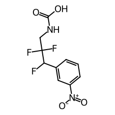 O=C(O)NCC(F)(F)C(F)c1cccc([N+](=O)[O-])c1